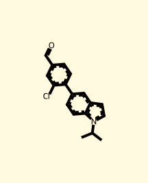 CC(C)n1ccc2cc(-c3ccc(C=O)cc3Cl)ccc21